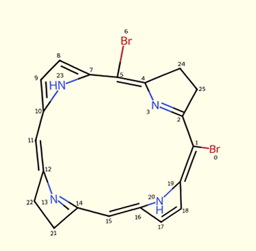 Brc1c2nc(c(Br)c3ccc(cc4nc(cc5ccc1[nH]5)CC4)[nH]3)CC2